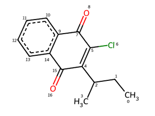 CCC(C)C1=C(Cl)C(=O)c2ccccc2C1=O